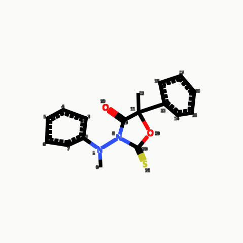 CN(c1ccccc1)N1C(=O)C(C)(c2ccccc2)OC1=S